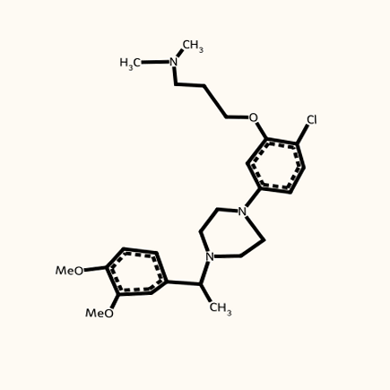 COc1ccc(C(C)N2CCN(c3ccc(Cl)c(OCCCN(C)C)c3)CC2)cc1OC